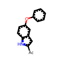 CC(=O)c1cc2cc(Oc3ccccc3)ccc2[nH]1